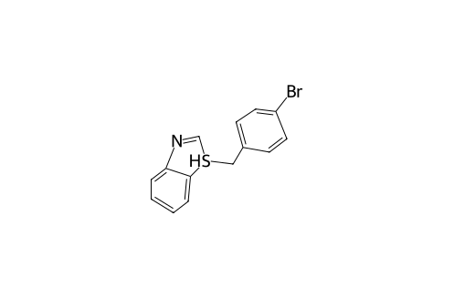 Brc1ccc(C[SH]2C=Nc3ccccc32)cc1